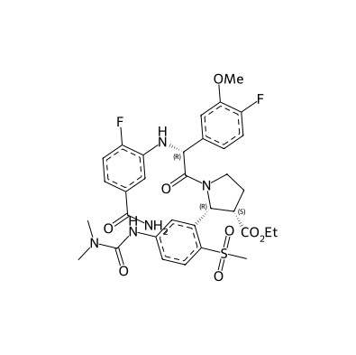 CCOC(=O)[C@H]1CCN(C(=O)[C@H](Nc2cc(C(N)=O)ccc2F)c2ccc(F)c(OC)c2)[C@H]1c1cc(NC(=O)N(C)C)ccc1S(C)(=O)=O